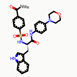 CNC(=O)c1ccc(S(=O)(=O)N[C@@H](Cc2c[nH]c3ccccc23)C(=O)Nc2ccc(N3CCOCC3)cc2)cc1